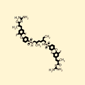 C=C/C(=C\C=C(/C)CNS(=O)(=O)c1ccc(Oc2c(F)cc(/C=C(\C)C(=O)N=C(N)N)cc2F)cc1)CNS(=O)(=O)c1ccc(Oc2c(F)cc(/C=C(\C)C(=O)N=C(N)N)cc2F)cc1